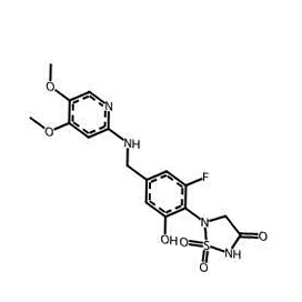 COc1cnc(NCc2cc(O)c(N3CC(=O)NS3(=O)=O)c(F)c2)cc1OC